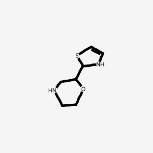 C1=CS[C](C2CNCCO2)N1